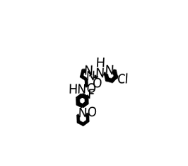 O=C(Nc1ccc(N2CCCCC2=O)cc1F)C1CC=NN1C(=O)Nc1ccc(Cl)cn1